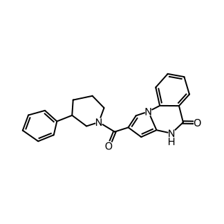 O=C(c1cc2[nH]c(=O)c3ccccc3n2c1)N1CCCC(c2ccccc2)C1